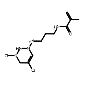 C=C(C)C(=O)NCCCNN1C=C(Cl)CN(Cl)N1